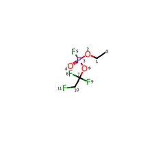 CCOP(=O)(F)OC(F)(F)CF